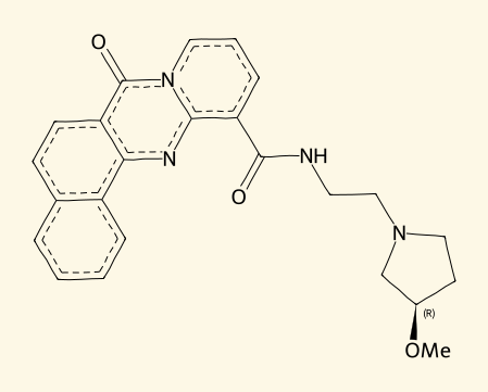 CO[C@@H]1CCN(CCNC(=O)c2cccn3c(=O)c4ccc5ccccc5c4nc23)C1